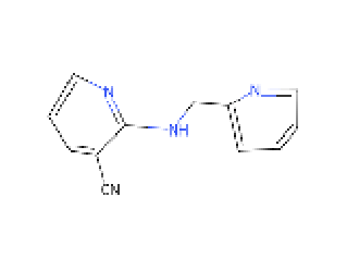 N#Cc1cccnc1NCc1ccccn1